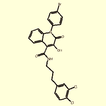 O=C(NCCCc1ccc(Cl)c(Cl)c1)c1c(O)c(=O)n(-c2ccc(Br)cc2)c2ccccc12